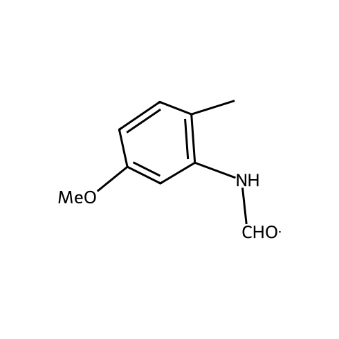 COc1ccc(C)c(N[C]=O)c1